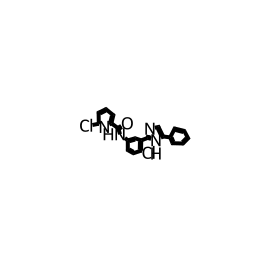 O=C(Nc1ccc(Cl)c(-c2ncc(-c3ccccc3)[nH]2)c1)c1cccc(Cl)n1